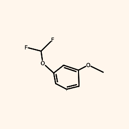 COc1c[c]cc(OC(F)F)c1